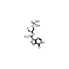 C[C@@H](O[C@@H](CF)COP(=O)(O)O)n1nnc2c(=O)[nH]cnc21